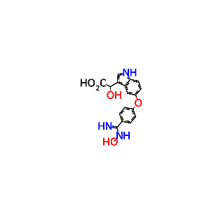 N=C(NO)c1ccc(Oc2ccc3[nH]cc(C(O)C(=O)O)c3c2)cc1